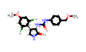 COCc1ccc(NC(=O)N[C@@H]2C(=O)NC[C@H]2c2c(F)cc(OC)cc2F)cc1